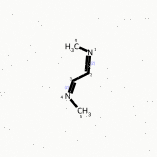 C/N=C\C=N/C